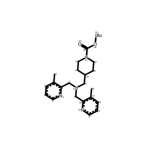 Cc1cccnc1CN(Cc1ncccc1C)CC1CCN(C(=O)OC(C)(C)C)CC1